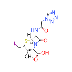 CC1=C(C(=O)O)N2C(=O)C(NC(=O)Cn3cnnn3)[C@@H]2SC1CI